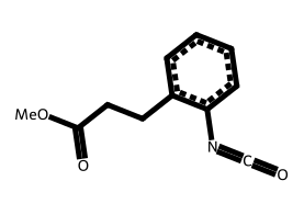 COC(=O)CCc1ccccc1N=C=O